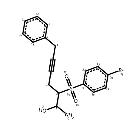 NC(O)C(CC#CCc1ccccc1)S(=O)(=O)c1ccc(Br)cc1